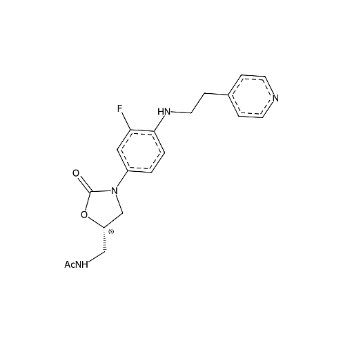 CC(=O)NC[C@H]1CN(c2ccc(NCCc3ccncc3)c(F)c2)C(=O)O1